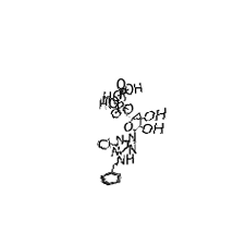 O=P(O)(O)CP(=O)(O)OC[C@]12C[C@]1(O)[C@@H](O)[C@H](n1cnc3c(NCc4ccccc4)nc(Cl)nc31)O2